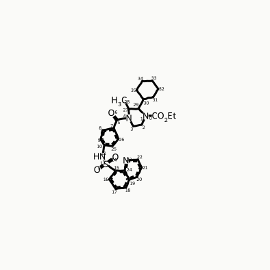 CCOC(=O)N1CCN(C(=O)c2ccc(NS(=O)(=O)c3cccc4cccnc34)cc2)C(C)C1C1CCCCC1